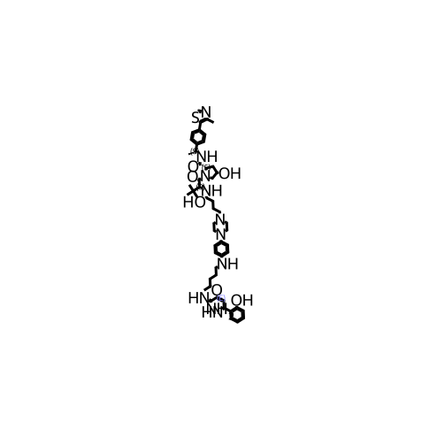 Cc1ncsc1-c1ccc([C@H](C)NC(=O)[C@@H]2CC(O)CN2C(=O)[C@@H](NC(O)CCCN2CCN(c3ccc(NCCCC(C)O/C(=C/C(=N)c4ccccc4O)C(=N)N)cc3)CC2)C(C)(C)C)cc1